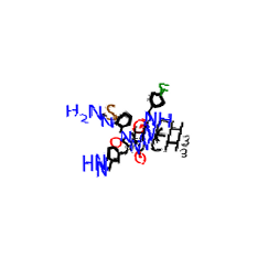 CC(C)N(C(=O)NCc1ccc(F)cc1)N1CC(=O)N2[C@@H](Cc3ccc4[nH]ncc4c3)C(=O)N(Cc3cccc4sc(N)nc34)C[C@@H]21